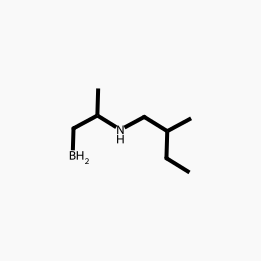 BCC(C)NCC(C)CC